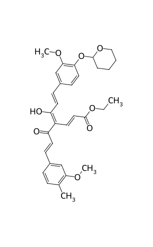 CCOC(=O)/C=C/C(C(=O)/C=C/c1ccc(C)c(OC)c1)=C(O)\C=C\c1ccc(OC2CCCCO2)c(OC)c1